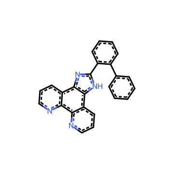 c1ccc(-c2ccccc2-c2nc3c4cccnc4c4ncccc4c3[nH]2)cc1